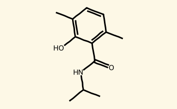 Cc1ccc(C)c(C(=O)NC(C)C)c1O